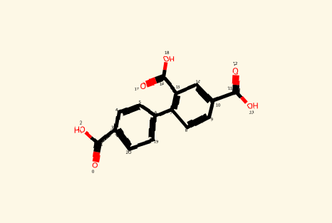 O=C(O)c1ccc(-c2ccc(C(=O)O)cc2C(=O)O)cc1